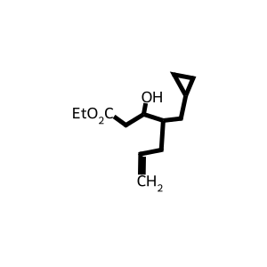 C=CCC(CC1CC1)C(O)CC(=O)OCC